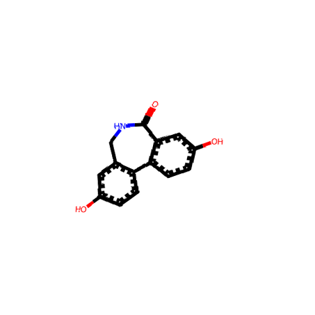 O=C1NCc2cc(O)ccc2-c2ccc(O)cc21